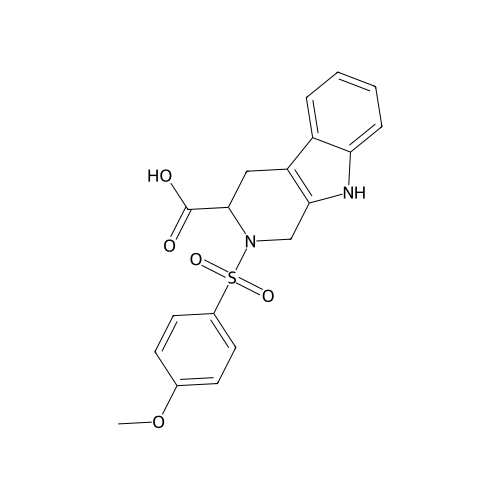 COc1ccc(S(=O)(=O)N2Cc3[nH]c4ccccc4c3CC2C(=O)O)cc1